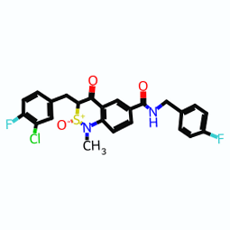 CN1c2ccc(C(=O)NCc3ccc(F)cc3)cc2C(=O)C(Cc2ccc(F)c(Cl)c2)[S+]1[O-]